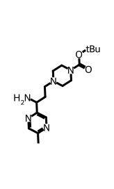 Cc1cnc(C(N)CCN2CCN(C(=O)OC(C)(C)C)CC2)cn1